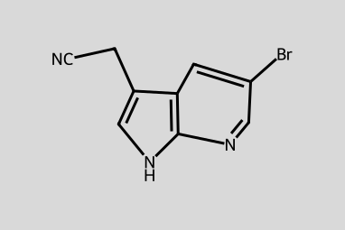 N#CCc1c[nH]c2ncc(Br)cc12